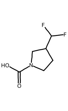 O=C(O)N1CCC(C(F)F)C1